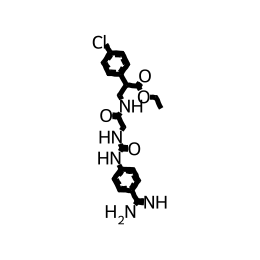 CCOC(=O)C(CNC(=O)CNC(=O)Nc1ccc(C(=N)N)cc1)c1ccc(Cl)cc1